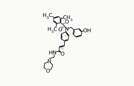 Cc1cc(C)c(S(=O)(=O)N(Cc2cccc(O)c2)c2ccc(/C=C/C(=O)NCCN3CCOCC3)cc2)c(C)c1